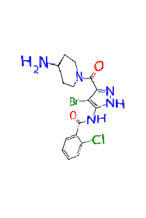 NC1CCN(C(=O)c2n[nH]c(NC(=O)c3ccccc3Cl)c2Br)CC1